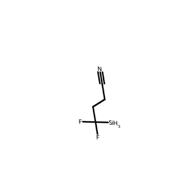 N#CCCC(F)(F)[SiH3]